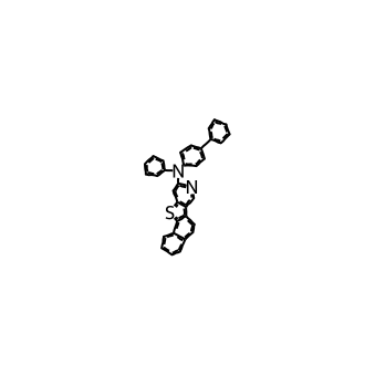 c1ccc(-c2ccc(N(c3ccccc3)c3cc4sc5c6ccccc6ccc5c4cn3)cc2)cc1